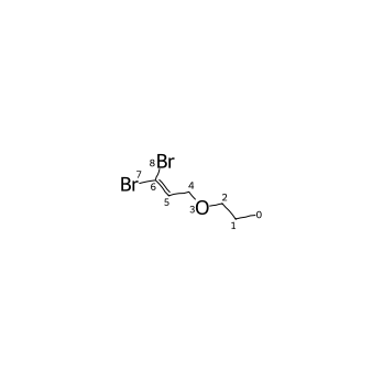 CCCOCC=C(Br)Br